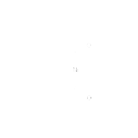 O=[C]([Ni][C](=O)C1=CC=CC1)C1=CC=CC1